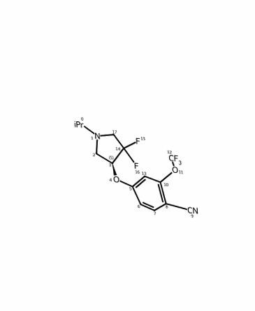 CC(C)N1C[C@H](Oc2ccc(C#N)c(OC(F)(F)F)c2)C(F)(F)C1